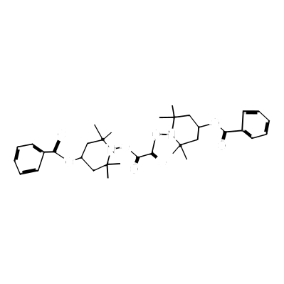 CC1(C)CC(OC(=O)c2ccccc2)CC(C)(C)N1OC(=O)C(=O)ON1C(C)(C)CC(OC(=O)c2ccccc2)CC1(C)C